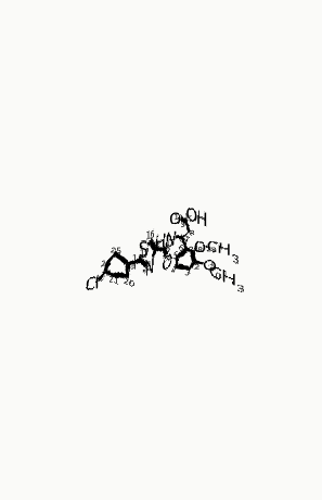 COc1cccc([C@H](CC(=O)O)NC(=O)c2csc(-c3ccc(Cl)cc3)n2)c1OC